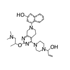 C=CC(O)N1CCN(c2nc(OC(C)CN(C)C)nc3c2CCN(c2cc(O)cc4ccccc24)C3)CC1